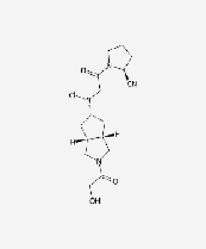 N#C[C@@H]1CCCN1C(=O)CN(Cl)[C@@H]1C[C@@H]2CN(C(=O)CO)C[C@@H]2C1